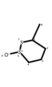 CC1CCC[S+]([O-])S1